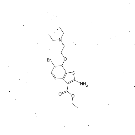 CCOC(=O)c1c(N)sc2c(OCCN(CC)CC)c(Br)ccc12